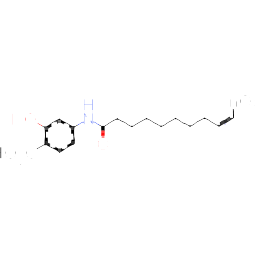 CCCCCCCC/C=C\CCCCCCCC(=O)Nc1ccc(C(=O)O)c(O)c1